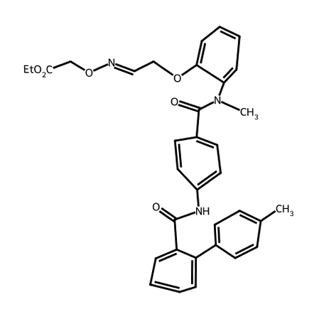 CCOC(=O)CON=CCOc1ccccc1N(C)C(=O)c1ccc(NC(=O)c2ccccc2-c2ccc(C)cc2)cc1